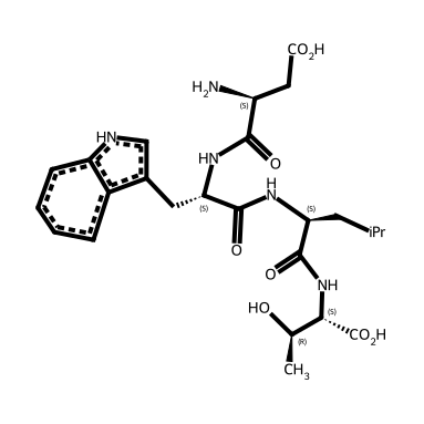 CC(C)C[C@H](NC(=O)[C@H](Cc1c[nH]c2ccccc12)NC(=O)[C@@H](N)CC(=O)O)C(=O)N[C@H](C(=O)O)[C@@H](C)O